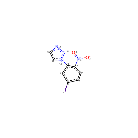 O=[N+]([O-])c1ccc(I)cc1-n1ccnn1